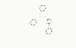 CCCCC(c1cnc(-c2ccccc2)n1CCCC)N(Cc1ccccc1)Cc1ccc(OC(C)=O)cc1